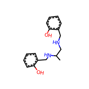 CC(CNCc1ccccc1O)NCc1ccccc1O